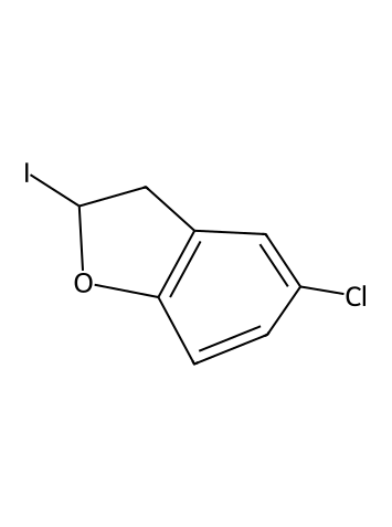 Clc1ccc2c(c1)CC(I)O2